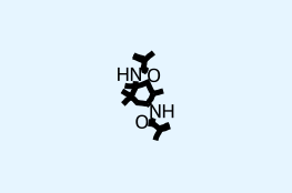 C=C(C)C(=O)NC1CC(C)(C)C(C)(NC(=O)C(=C)C)CC1C